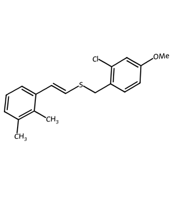 COc1ccc(CSC=Cc2cccc(C)c2C)c(Cl)c1